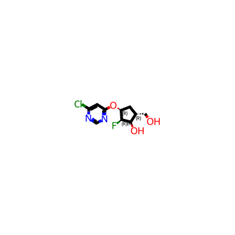 OC[C@H]1C[C@@H](Oc2cc(Cl)ncn2)[C@H](F)[C@@H]1O